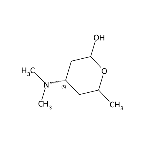 CC1C[C@H](N(C)C)CC(O)O1